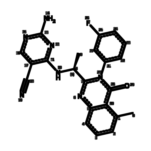 Cc1cccc2nc([C@H](C)Nc3nc(N)ncc3C#N)n(-c3cccc(F)c3)c(=O)c12